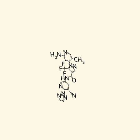 Cc1cnc(N)cc1-n1ncc(C(=O)Nc2cnc(-n3nccn3)c(C#N)c2)c1C(F)(F)F